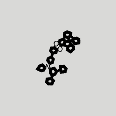 c1ccc(-c2cc(-c3ccccc3)cc(N(c3ccccc3)c3ccc(-c4ccc5c(c4)Oc4c(ccc6c4-c4ccccc4C64c6ccccc6-c6ccccc64)O5)cc3)c2)cc1